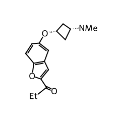 CCC(=O)c1cc2cc(O[C@H]3C[C@@H](NC)C3)ccc2o1